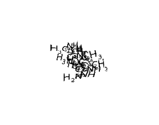 CC(C)(N)CC(C)(C)C(=O)NC(C)(C)CC(C)(C)NC(=O)NN